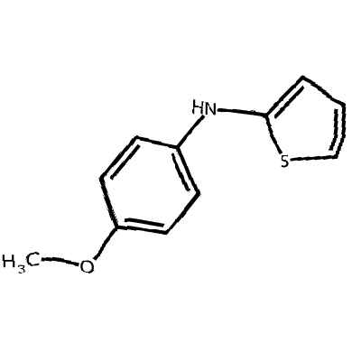 COc1ccc(Nc2cccs2)cc1